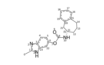 Cc1nc2ccc(OC(=O)N[C@H]3CCCc4ccccc4C3)cc2[nH]1